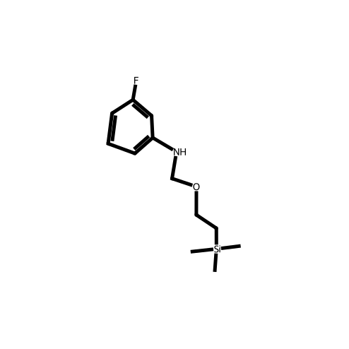 C[Si](C)(C)CCOCNc1cccc(F)c1